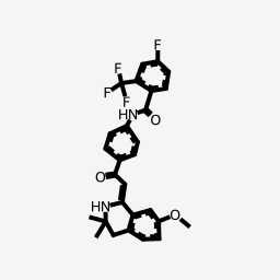 COc1ccc2c(c1)/C(=C/C(=O)c1ccc(NC(=O)c3ccc(F)cc3C(F)(F)F)cc1)NC(C)(C)C2